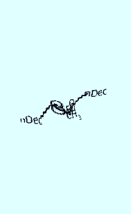 CCCCCCCCCCCCCCCCCC(=O)OCC[N+](C)(CC)CCOC(=O)CCCCCCCCCCCCCCCCC